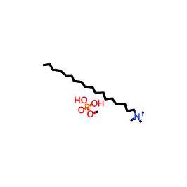 CCCCCCCCCCCCCCCCCC[N+](C)(C)C.COP(=O)(O)O